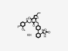 CCc1cc2c(=O)n(CC(=O)c3ccc(F)c(OC)c3)c(=O)n(Cc3ccc(-c4ccccc4-c4noc(=O)[nH]4)cc3)c2s1.[KH]